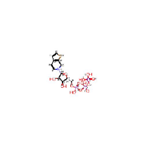 O=P(O)(O)OP(=O)(O)OP(=O)(O)OC[C@H]1O[C@@H](N2C=Cc3ccsc3C2)C(O)C1O